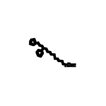 [CH2]CCCCCCCCCCCCCCCCCCCC(CC[CH]c1ccccc1)c1ccccc1